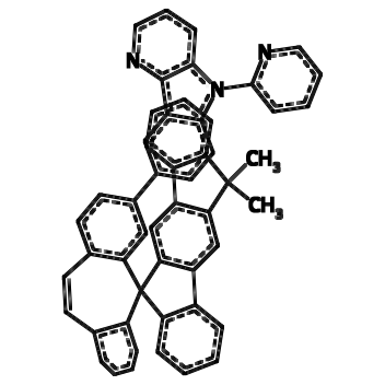 CC1(C)c2ccccc2-c2cc3c(cc21)-c1ccccc1C31c2ccccc2C=Cc2ccc(-c3ccc4c(c3)c3ncccc3n4-c3ccccn3)cc21